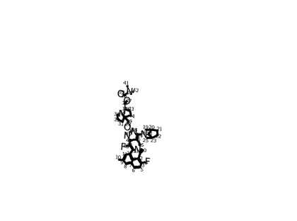 C#Cc1c(F)ccc2cc(C)cc(-c3ncc4c(N5CC6CCC(C6)C5)nc(OCC56CCCN5[C@@H](COC(=O)N(C)C)CC6)nc4c3F)c12